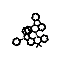 CC1(C)c2ccccc2N(B2c3ccccc3C3(C)c4ccccc4-c4cccc2c43)c2c1ccc1c2c2ccccc2n1-c1ccccc1